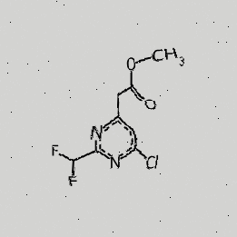 COC(=O)Cc1cc(Cl)nc(C(F)F)n1